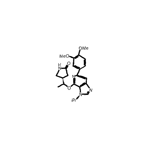 COc1ccc(-c2cc3ncn(C(C)C)c3c(OC(C)[C@H]3CNC(=O)C3)n2)cc1OC